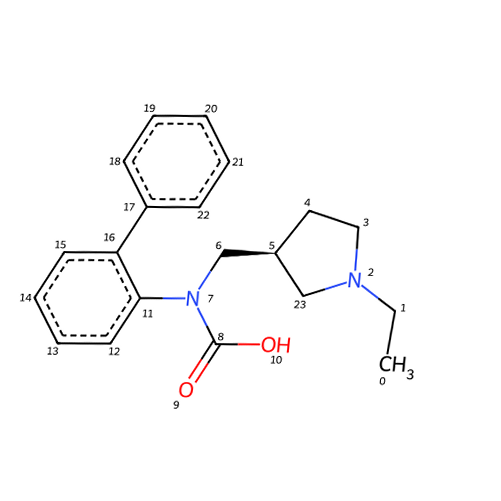 CCN1CC[C@H](CN(C(=O)O)c2ccccc2-c2ccccc2)C1